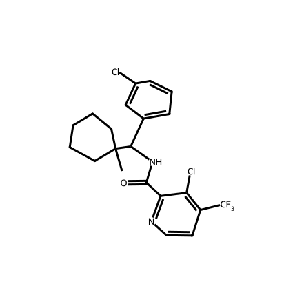 CC1(C(NC(=O)c2nccc(C(F)(F)F)c2Cl)c2cccc(Cl)c2)CCCCC1